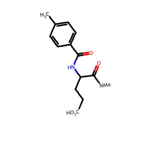 CNC(=O)C(CCC(=O)O)NC(=O)c1ccc(C)cc1